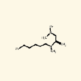 C=C(CN(C)C(C)C)N(C)CCCCCC(C)C